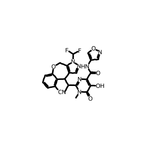 CC(c1nc(C(=O)Nc2cnoc2)c(O)c(=O)n1C)C1c2cnn(C(F)F)c2COc2cccc(C#N)c21